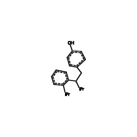 CC(C)[C](Cc1ccc(O)cc1)c1ccccc1C(C)C